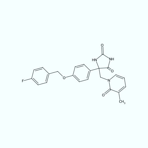 Cc1cccn(CC2(c3ccc(OCc4ccc(F)cc4)cc3)NC(=O)NC2=O)c1=O